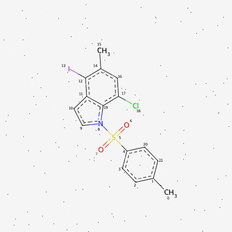 Cc1ccc(S(=O)(=O)n2ccc3c(I)c(C)cc(Cl)c32)cc1